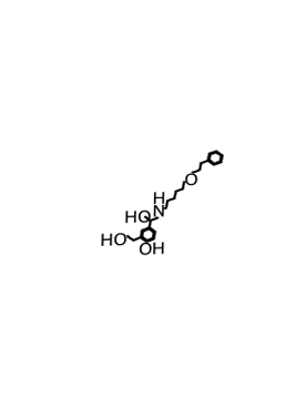 OCCc1cc(C(O)CNCCCCCCOCCCc2ccccc2)ccc1O